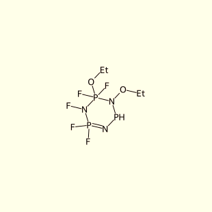 CCON1PN=P(F)(F)N(F)P1(F)(F)OCC